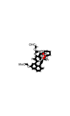 COCOc1cc(-c2ncc3c(N4CC5CCC(C4)N5C(=O)OC(C)(C)C)nc(OCC=O)nc3c2F)c2c(C#C[Si](C(C)C)(C(C)C)C(C)C)c(F)ccc2c1